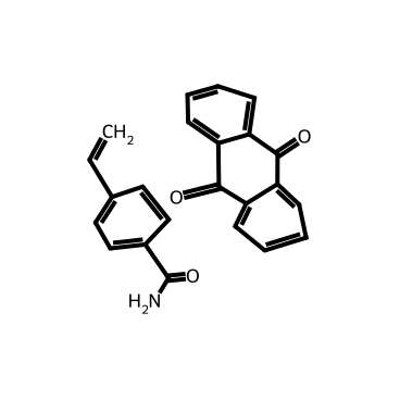 C=Cc1ccc(C(N)=O)cc1.O=C1c2ccccc2C(=O)c2ccccc21